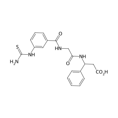 NC(=S)Nc1cccc(C(=O)NCC(=O)NC(CC(=O)O)c2ccccc2)c1